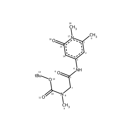 Cc1cc(NC(=O)CN(C)C(=O)OC(C)(C)C)cc(=O)n1C